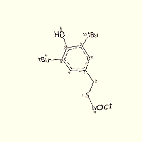 CCCCCCCCSCc1cc(C(C)(C)C)c(O)c(C(C)(C)C)c1